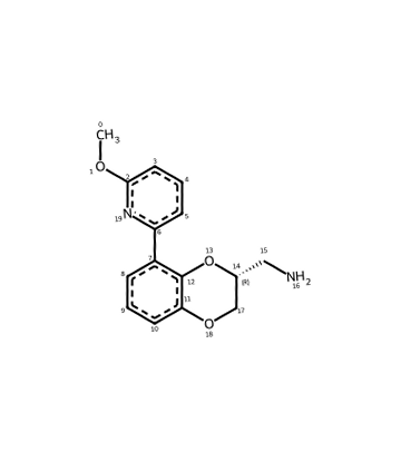 COc1cccc(-c2cccc3c2O[C@H](CN)CO3)n1